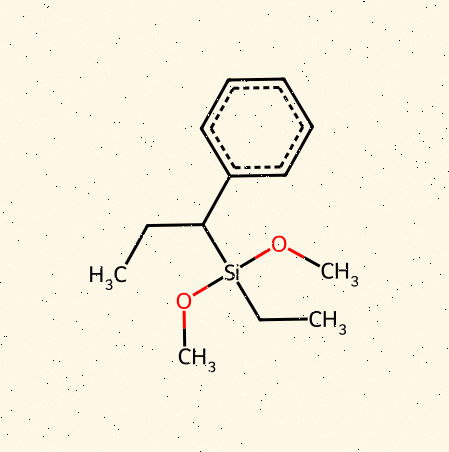 CCC(c1ccccc1)[Si](CC)(OC)OC